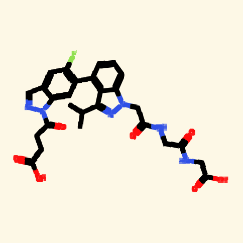 CC(C)c1nn(CC(=O)NCC(=O)NCC(=O)O)c2cccc(-c3cc4c(cnn4C(=O)CCC(=O)O)cc3F)c12